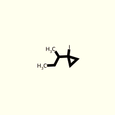 CCC(C)C1(I)CC1